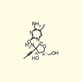 CC#CC1(N)[C@@H](O)[C@@H](CO)O[C@H]1n1cc(F)c(N)nc1=O